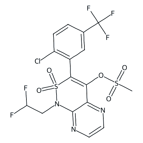 CS(=O)(=O)OC1=C(c2cc(C(F)(F)F)ccc2Cl)S(=O)(=O)N(CC(F)F)c2nccnc21